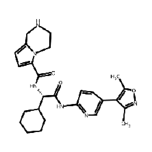 Cc1noc(C)c1-c1ccc(NC(=O)[C@@H](NC(=O)c2ccc3n2CCNC3)C2CCCCC2)nc1